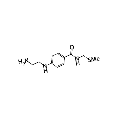 CSCNC(=O)c1ccc(NCCN)cc1